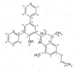 C=CCc1cc(C)c(/N=C/c2cc(-c3ccccc3)cc(-c3ccccc3)c2O)c(C(C)C)c1